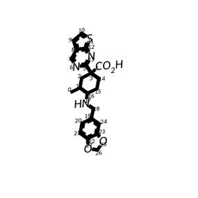 CC1CC(C(=O)O)(c2ncc3ccsc3n2)CCC1NCc1ccc2c(c1)OCO2